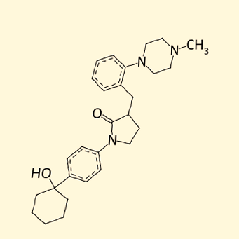 CN1CCN(c2ccccc2CC2CCN(c3ccc(C4(O)CCCCC4)cc3)C2=O)CC1